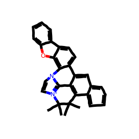 CC1(C)c2c3ccccc3cc3c4ccc5c6ccccc6oc5c4n4cc[n+](c4c23)C1(C)C